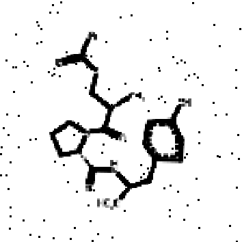 CC(C)C(=O)SC[C@@H](C)C(=O)N1CCC[C@H]1C(=O)N[C@@H](Cc1ccc(O)cc1)C(=O)O